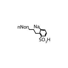 CCCCCCCCCCCCc1[c]([Na])cccc1S(=O)(=O)O